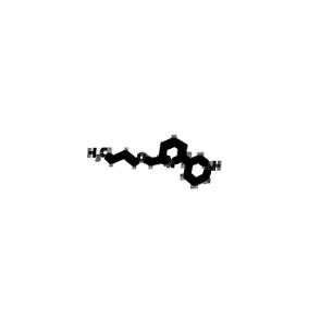 CCCCOCc1cccc(C2CCCNC2)n1